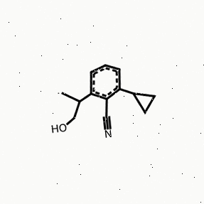 [CH2]C(CO)c1cccc(C2CC2)c1C#N